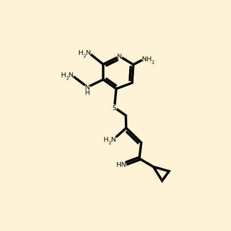 N=C(/C=C(\N)CSc1cc(N)nc(N)c1NN)C1CC1